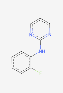 Fc1ccccc1Nc1ncccn1